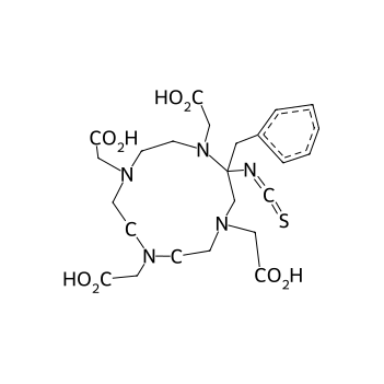 O=C(O)CN1CCN(CC(=O)O)CCN(CC(=O)O)C(Cc2ccccc2)(N=C=S)CN(CC(=O)O)CC1